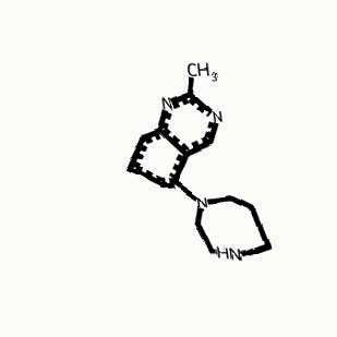 Cc1ncc2c(N3CCCNCC3)cccc2n1